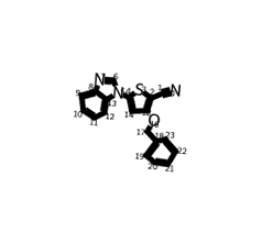 N#Cc1sc(-n2cnc3ccccc32)cc1OCc1ccccc1